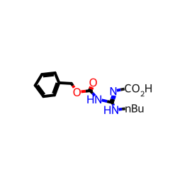 CCCCNC(=NC(=O)O)NC(=O)OCc1ccccc1